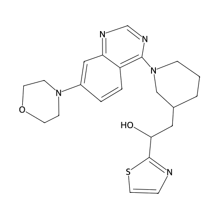 OC(CC1CCCN(c2ncnc3cc(N4CCOCC4)ccc23)C1)c1nccs1